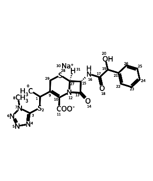 CC(Sc1nnnn1C)C1=C(C(=O)[O-])N2C(=O)[C@@H](NC(=O)C(O)c3ccccc3)[C@@H]2SC1.[Na+]